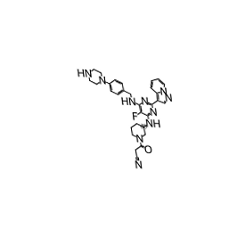 N#CCC(=O)N1CCC[C@@H](Nc2nc(-c3cnn4ccccc34)nc(NCc3ccc(N4CCNCC4)cc3)c2F)C1